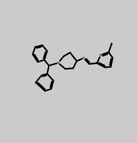 Cc1cccc(C=NC2CCN(C(c3ccccc3)c3ccccc3)CC2)n1